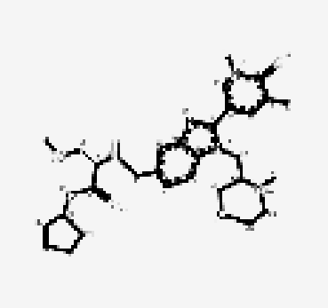 COC[C@H](NCc1ccc2c(c1)nc(-c1cc(C)c(=O)n(C)c1)n2CC1COCCN1C)C(=O)OC1CCCC1